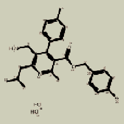 Cc1ccc(-c2c(CN)c(CC(C)C)nc(C)c2C(=O)OCc2ccc(Br)cc2)cc1.Cl.Cl